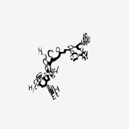 CCN[C@@H]1C[C@@H](C)S(=O)(=O)c2sc(S(=O)(=O)NC(=O)C(C)CC(=O)CCC(=O)OC(CNC(C)(C)C)COc3nsnc3N3CCOCC3)cc21